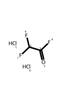 Cl.Cl.O=C(F)C(F)F